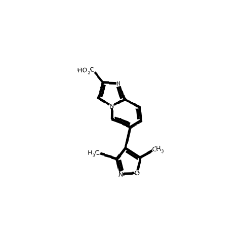 Cc1noc(C)c1-c1ccc2nc(C(=O)O)cn2c1